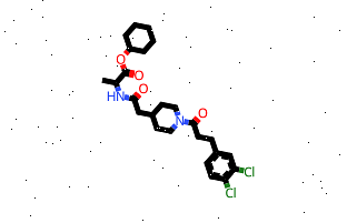 CC(NC(=O)CC1CCN(C(=O)CCc2ccc(Cl)c(Cl)c2)CC1)C(=O)OC1CCCCC1